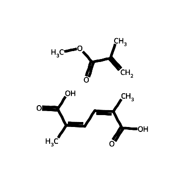 C=C(C)C(=O)OC.CC(=CC=C(C)C(=O)O)C(=O)O